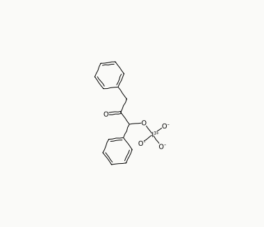 O=C(Cc1ccccc1)C(O[I+3]([O-])([O-])[O-])c1ccccc1